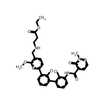 CCOC(=O)CCNCc1ccc(-c2cccc(-c3cccc(NC(=O)c4ccnn(C)c4=O)c3Cl)c2Cl)nc1OC